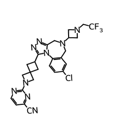 N#Cc1ccnc(N2CC3(CC(c4nnc5n4-c4ccc(Cl)cc4CN(C4CN(CC(F)(F)F)C4)C5)C3)C2)n1